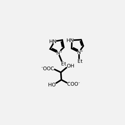 CC[n+]1cc[nH]c1.CC[n+]1cc[nH]c1.O=C([O-])C(O)C(O)C(=O)[O-]